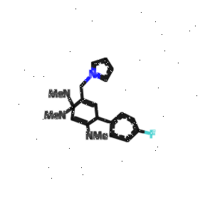 CNC1=CC(NC)(NC)C(Cn2cccc2)=CC1c1ccc(F)cc1